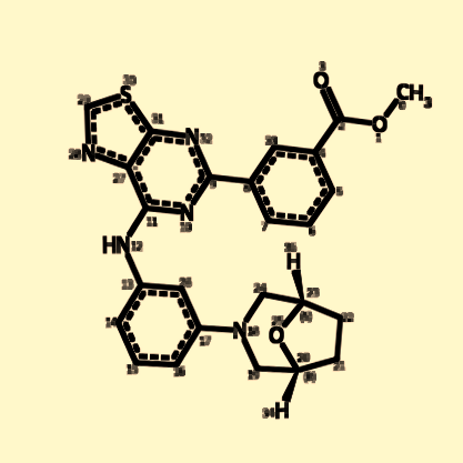 COC(=O)c1cccc(-c2nc(Nc3cccc(N4C[C@H]5CC[C@@H](C4)O5)c3)c3ncsc3n2)c1